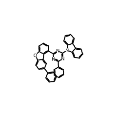 c1ccc(-c2ccc3oc4cccc(-c5nc(-c6ccccc6)nc(-n6c7ccccc7c7ccccc76)n5)c4c3c2)cc1